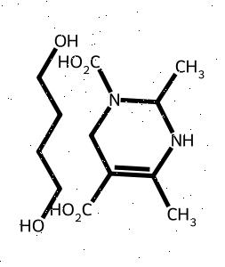 CC1=C(C(=O)O)CN(C(=O)O)C(C)N1.OCCCCO